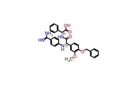 COc1cc([C@H](Nc2ccc(C(=N)N)cc2)C(=O)N[C@@H](C(=O)O)c2ccccc2)ccc1OCc1ccccc1